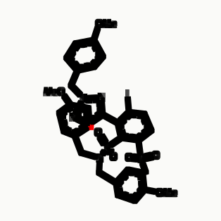 COc1ccc(CN(Cc2ccc(OC)cc2)S(=O)(=O)c2c(S(C)(=O)=O)ccc(I)c2-c2nnn(Cc3ccc(OC)cc3)n2)cc1